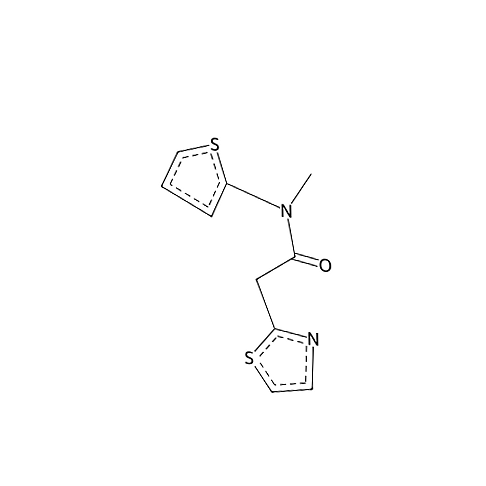 CN(C(=O)Cc1nccs1)c1cccs1